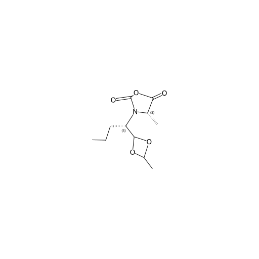 CCC[C@@H](C1OC(C)O1)N1C(=O)OC(=O)[C@@H]1C